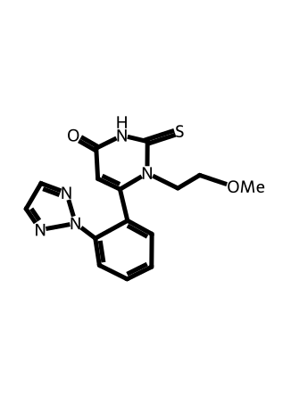 COCCn1c(-c2ccccc2-n2nccn2)cc(=O)[nH]c1=S